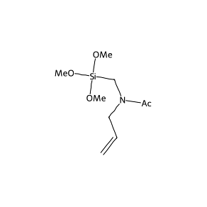 C=CCN(C[Si](OC)(OC)OC)C(C)=O